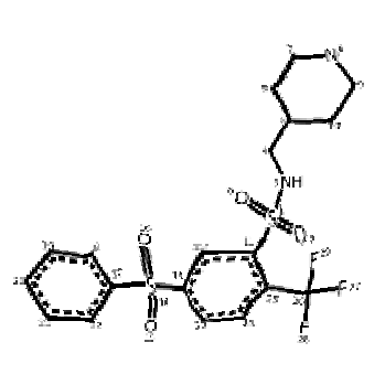 O=S(=O)(NCC1CC[N]CC1)c1cc(S(=O)(=O)c2ccccc2)ccc1C(F)(F)F